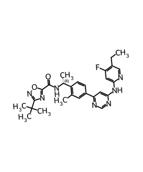 CCc1cnc(Nc2cc(-c3ccc([C@@H](C)NC(=O)c4nc(C(C)(C)C)no4)c(C)c3)ncn2)cc1F